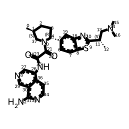 C[C@H]1CC[C@H](c2ccc3sc([C@@H](C)CN(C)C)nc3c2)N(C(=O)C(=O)Nc2cncc3c(N)nccc23)C1